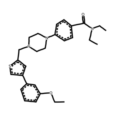 CCOc1cccc(-c2csc(CN3CCN(c4ccc(C(=O)N(CC)CC)cc4)CC3)c2)c1